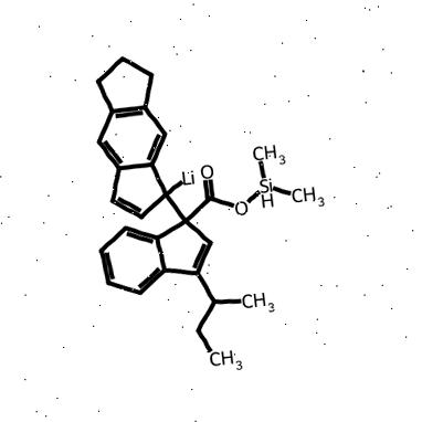 [Li][C]1(C2(C(=O)O[SiH](C)C)C=C(C(C)CC)c3ccccc32)C=Cc2cc3c(cc21)CCC3